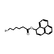 CC(C)CCCCCC(=O)OC1C=Cc2cccc3cccc1c23